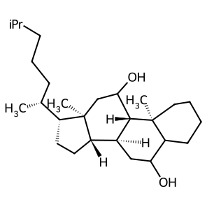 CC(C)CCC[C@@H](C)[C@H]1CC[C@H]2[C@@H]3CC(O)C4CCCC[C@]4(C)[C@H]3C(O)C[C@]12C